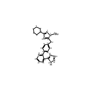 CCCCn1nc(C2CCCCC2)nc1Cc1ccc(-c2ncccc2-c2nnn[nH]2)cc1